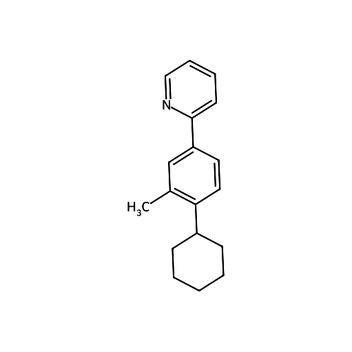 Cc1cc(-c2ccccn2)ccc1C1CCCCC1